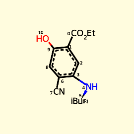 CCOC(=O)c1cc(N[C@H](C)CC)c(C#N)cc1O